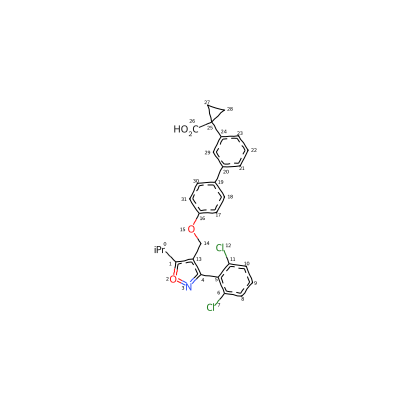 CC(C)c1onc(-c2c(Cl)cccc2Cl)c1COc1ccc(-c2cccc(C3(C(=O)O)CC3)c2)cc1